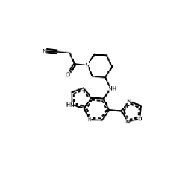 N#CCC(=O)N1CCCC(Nc2c(-c3ncon3)cnc3[nH]ccc23)C1